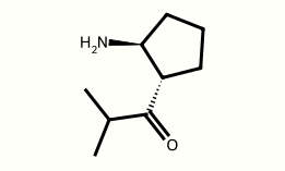 CC(C)C(=O)[C@H]1CCC[C@@H]1N